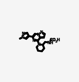 Cn1cc(-c2cn3nccc3c(N3CCCCC3CNC(=O)O)n2)cn1